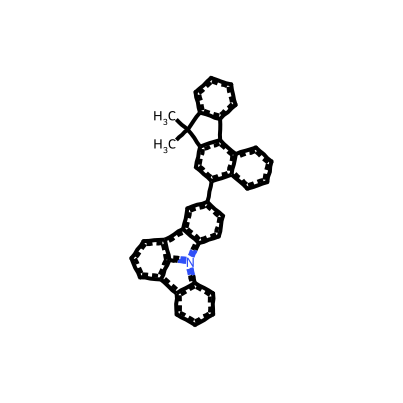 CC1(C)c2ccccc2-c2c1cc(-c1ccc3c(c1)c1cccc4c5ccccc5n3c41)c1ccccc21